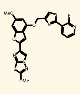 COc1cc(OCc2csc(-c3cccnc3F)n2)c2cc(-c3cn4nc(OC)sc4n3)oc2c1